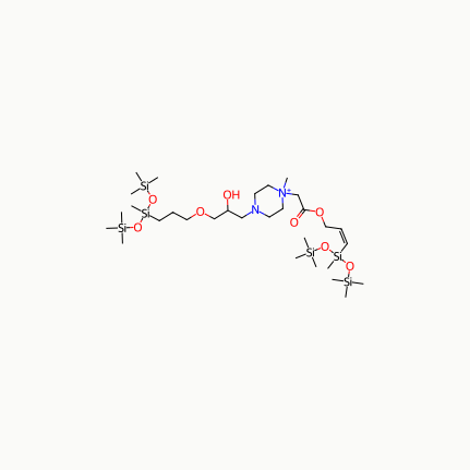 C[N+]1(CC(=O)OC/C=C\[Si](C)(O[Si](C)(C)C)O[Si](C)(C)C)CCN(CC(O)COCCC[Si](C)(O[Si](C)(C)C)O[Si](C)(C)C)CC1